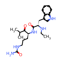 CCN[C@@H](Cc1c[nH]c2ccccc12)C(=O)N[C@@H](CCCNC(N)=O)C(=O)C(C)C